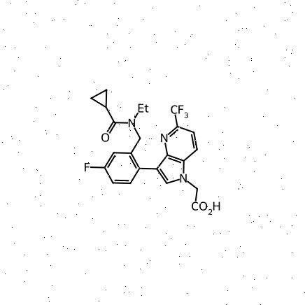 CCN(Cc1cc(F)ccc1-c1cn(CC(=O)O)c2ccc(C(F)(F)F)nc12)C(=O)C1CC1